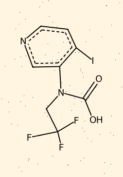 O=C(O)N(CC(F)(F)F)c1cnccc1I